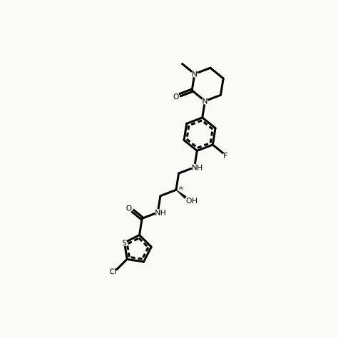 CN1CCCN(c2ccc(NC[C@@H](O)CNC(=O)c3ccc(Cl)s3)c(F)c2)C1=O